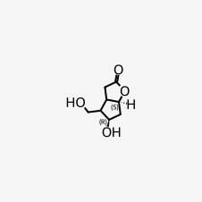 O=C1CC2C(CO)[C@H](O)C[C@@H]2O1